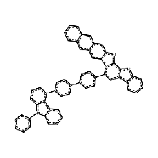 c1ccc(-n2c3ccccc3c3c(-c4ccc(-c5ccc(-c6cc7c8ccccc8sc7c7nc8cc9cc%10ccccc%10cc9cc8n67)cc5)cc4)cccc32)cc1